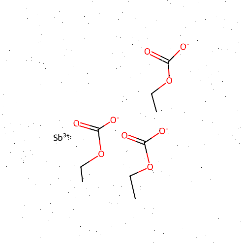 CCOC(=O)[O-].CCOC(=O)[O-].CCOC(=O)[O-].[Sb+3]